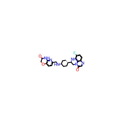 N[C@@H](Cn1c(=O)cnc2ccc(F)cc21)[C@H]1CC[C@H](NCc2ccc3c(n2)NC(=O)CO3)CC1